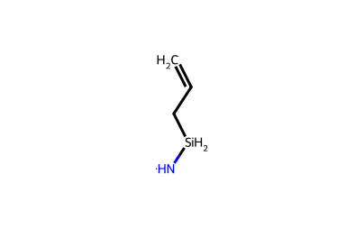 C=CC[SiH2][NH]